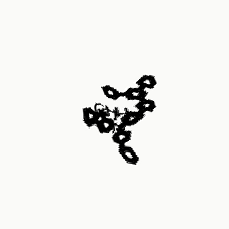 CC1(C)c2ccccc2-c2ccc(N(c3ccc(-c4cccc(-c5cc(C6CCCCC6)cc(C6CCCCC6)c5)c4)cc3)c3ccc(C4CCCCC4)cc3)cc21